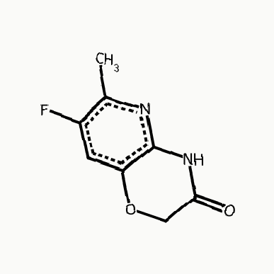 Cc1nc2c(cc1F)OCC(=O)N2